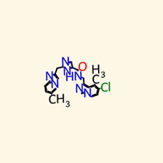 Cc1ccc2nc(CC3N=CC(C(=O)NCc4ncn5ccc(Cl)c(C)c45)=N3)cn2c1